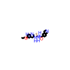 CCCOc1cccc(CC(CN)NC(=S)NNC(=O)c2ccc3cnccc3c2)c1